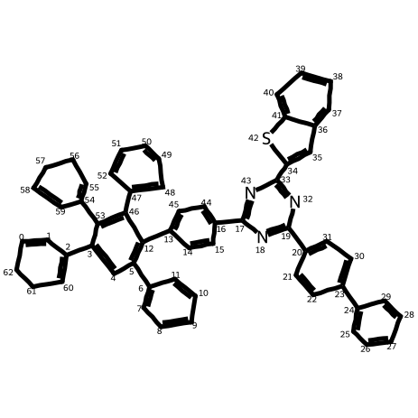 C1=CC(c2cc(-c3ccccc3)c(-c3ccc(-c4nc(-c5ccc(-c6ccccc6)cc5)nc(-c5cc6ccccc6s5)n4)cc3)c(-c3ccccc3)c2C2=CCCC=C2)=CCC1